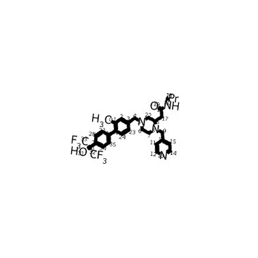 Cc1cc(CN2CCN(Cc3ccncc3)C(CC(=O)NC(C)C)C2)ccc1-c1ccc(C(O)(C(F)(F)F)C(F)(F)F)cc1